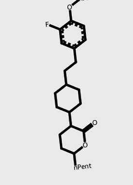 CCCCCC1CCC(C2CCC(CCc3ccc(OCCC)c(F)c3)CC2)C(=O)O1